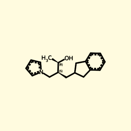 C[C@@H](O)[C@@H](CC1Cc2ccccc2C1)Cn1cccc1